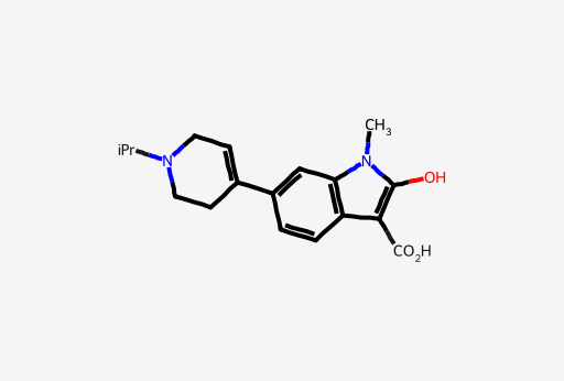 CC(C)N1CC=C(c2ccc3c(C(=O)O)c(O)n(C)c3c2)CC1